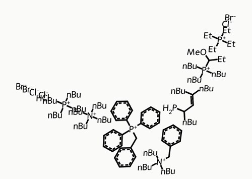 CCCCC(=CC(P)CCCC)CCCC.CCCC[N+](CCCC)(CCCC)CCCC.CCCC[N+](CCCC)(CCCC)Cc1ccccc1.CCCC[P+](CCCC)(CCCC)C(CC)OC.CCCC[P+](CCCC)(CCCC)CCCC.CC[P+](CC)(CC)CC.Cl.[Br-].[Br-].[Br-].[Cl-].[Cl-].[Cl-].c1ccc(C[P+](c2ccccc2)(c2ccccc2)c2ccccc2)cc1